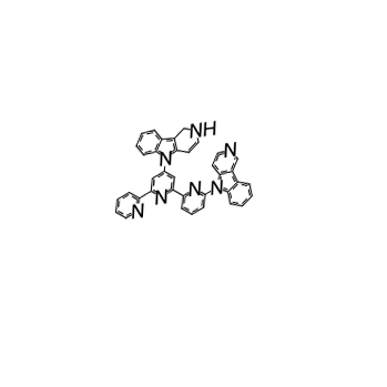 C1=Cc2c(c3ccccc3n2-c2cc(-c3ccccn3)nc(-c3cccc(-n4c5ccccc5c5cnccc54)n3)c2)CN1